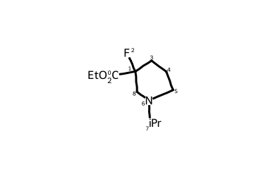 CCOC(=O)C1(F)CCCN(C(C)C)C1